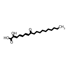 CCCCCCCCCCC(=O)C=CC=CC=C(O)C(=O)O